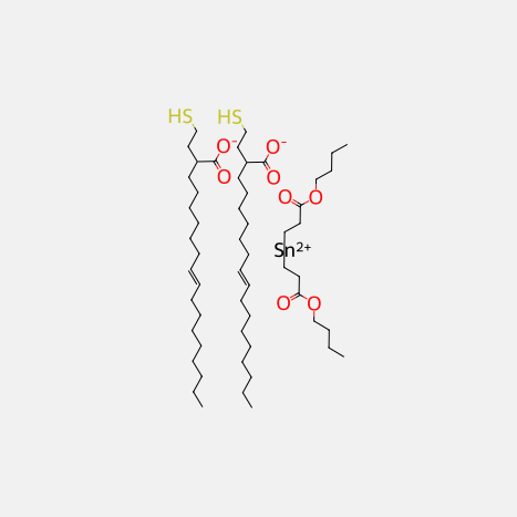 CCCCCCCCC=CCCCCCCC(CCS)C(=O)[O-].CCCCCCCCC=CCCCCCCC(CCS)C(=O)[O-].CCCCOC(=O)C[CH2][Sn+2][CH2]CC(=O)OCCCC